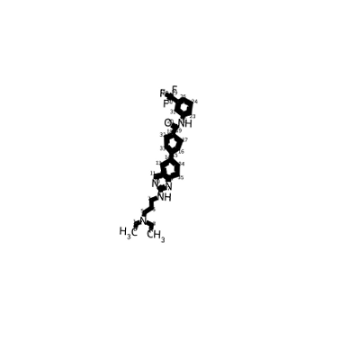 CCN(CC)CCCNc1ncc2cc(-c3ccc(C(=O)Nc4cccc(C(F)(F)F)c4)cc3)ccc2n1